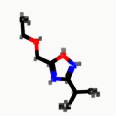 CCOCc1nc(C(C)C)no1